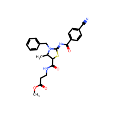 COC(=O)CCNC(=O)C1SC(=NC(=O)c2ccc(C#N)cc2)N(Cc2ccccc2)C1C